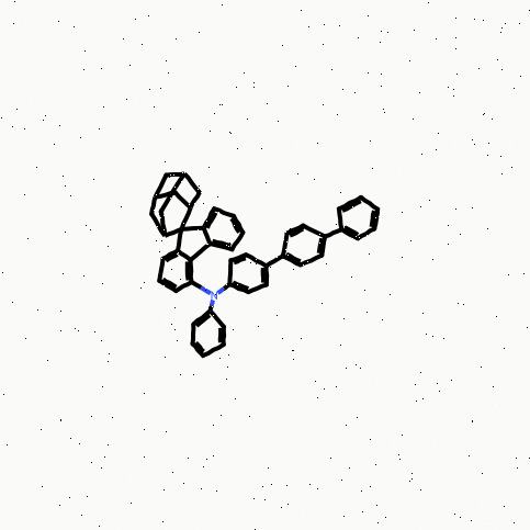 c1ccc(-c2ccc(-c3ccc(N(c4ccccc4)c4cccc5c4-c4ccccc4C54C5CC6CC(C5)CC4C6)cc3)cc2)cc1